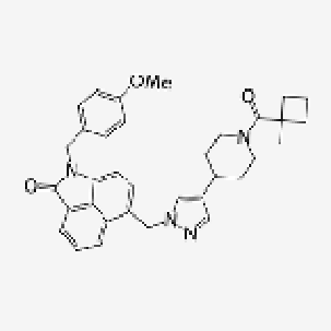 COc1ccc(CN2C(=O)c3cccc4c(Cn5cc(C6CCN(C(=O)C7(C)CCC7)CC6)cn5)ccc2c34)cc1